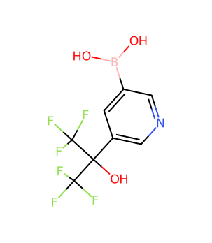 OB(O)c1cncc(C(O)(C(F)(F)F)C(F)(F)F)c1